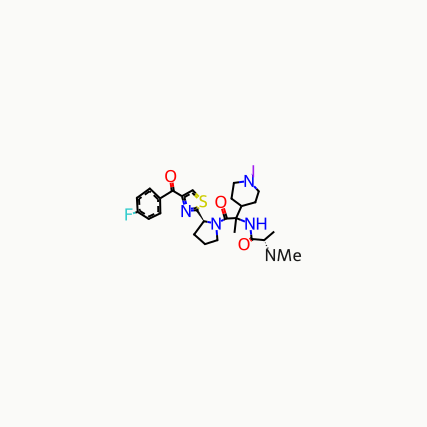 CN[C@@H](C)C(=O)NC(C)(C(=O)N1CCC[C@H]1c1nc(C(=O)c2ccc(F)cc2)cs1)C1CCN(I)CC1